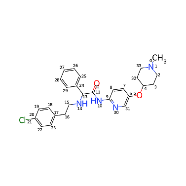 CN1CCC(Oc2ccc(NC(=O)C(NCCc3ccc(Cl)cc3)c3ccccc3)nc2)CC1